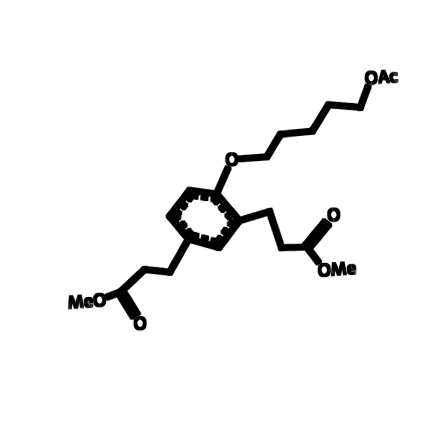 COC(=O)CCc1ccc(OCCCCCOC(C)=O)c(CCC(=O)OC)c1